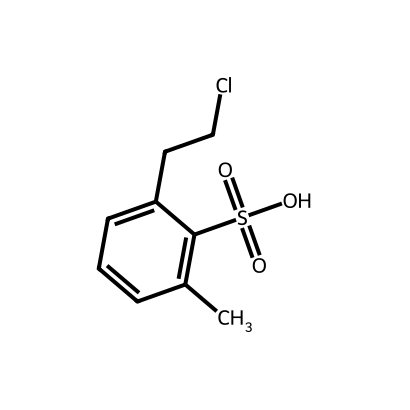 Cc1cccc(CCCl)c1S(=O)(=O)O